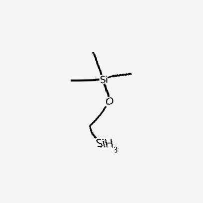 C[Si](C)(C)OC[SiH3]